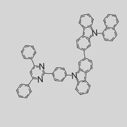 c1ccc(-c2cc(-c3ccccc3)nc(-c3ccc(-n4c5ccccc5c5ccc(-c6ccc7c8ccccc8n(-c8cccc9ccccc89)c7c6)cc54)cc3)n2)cc1